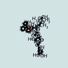 CC(C)(C)OC(=O)C(C)(C)O/N=C(\C(=O)N[C@H]1CN2CC(C(=O)NCC(=O)NCc3cc(O)c(O)cn3)=C(C(=O)O)N2C1=O)c1csc(NC(c2ccccc2)(c2ccccc2)c2ccccc2)n1